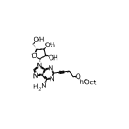 CCCCCCCCOCCC#Cc1nc(N)c2ncn([C@@H]3O[C@H](CO)C(O)C3O)c2n1